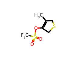 CC1=C(OS(=O)(=O)C(F)(F)F)CSC1